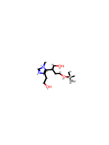 Cn1cnc(CCO)c1C(CO)CCO[Si](C)(C)C(C)(C)C